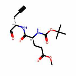 C#CC[C@@H](C=O)NC(=O)[C@H](CCC(=O)OC)NC(=O)OC(C)(C)C